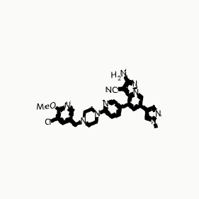 COc1ncc(CN2CCN(c3ccc(-c4cc(-c5cnn(C)c5)cn5nc(N)c(C#N)c45)cn3)CC2)cc1Cl